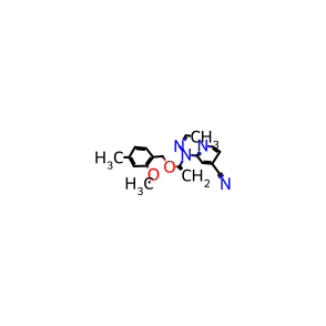 C=C(OCc1ccc(C)cc1OC)N(/N=C\C)c1cc(C#N)ccn1